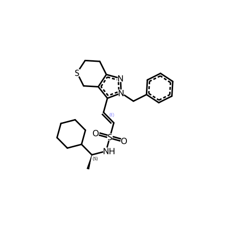 C[C@H](NS(=O)(=O)/C=C/c1c2c(nn1Cc1ccccc1)CCSC2)C1CCCCC1